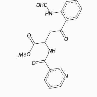 COC(=O)C(CC(=O)c1ccccc1NC=O)NC(=O)c1cccnc1